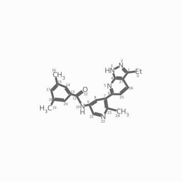 CCc1n[nH]c2nc(-c3cc(NC(=O)c4cc(C)cc(C)c4)cnc3C)ccc12